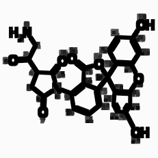 NCC(=O)C1CC(=O)N(c2cccc3c2C(=O)OC32c3ccc(O)cc3Oc3cc(O)ccc32)C1=O